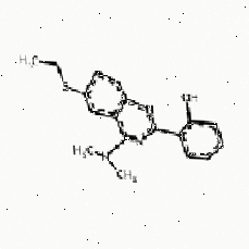 CCSc1ccc2nc(-c3ccccc3O)nc(N(C)C)c2c1